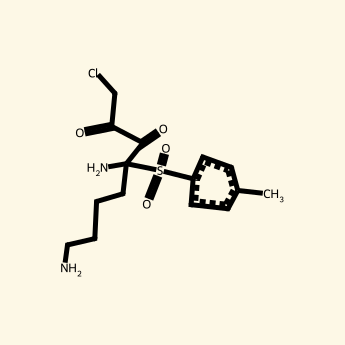 Cc1ccc(S(=O)(=O)C(N)(CCCCN)C(=O)C(=O)CCl)cc1